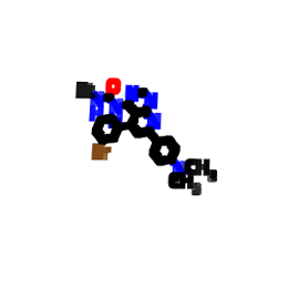 CCNC(=O)Nc1ncnc2nc(-c3ccc(N(C)C)cc3)cc(-c3cccc(Br)c3)c12